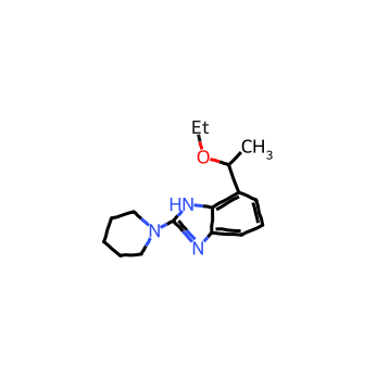 CCOC(C)c1cccc2nc(N3CCCCC3)[nH]c12